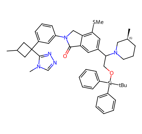 CSc1cc(C(CO[Si](c2ccccc2)(c2ccccc2)C(C)(C)C)N2CCC[C@H](C)C2)cc2c1CN(c1cccc(C3(c4nncn4C)CC(C)C3)c1)C2=O